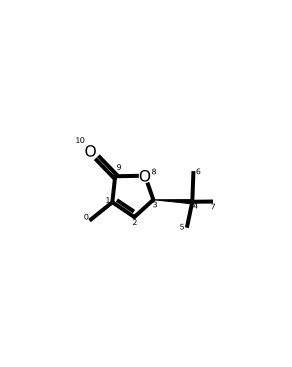 CC1=C[C@H](C(C)(C)C)OC1=O